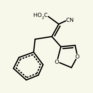 N#CC(C(=O)O)=C(Cc1ccccc1)C1=COCO1